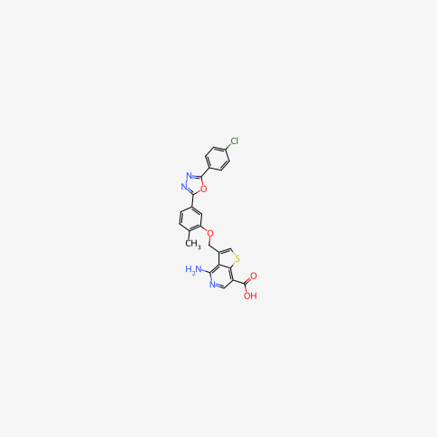 Cc1ccc(-c2nnc(-c3ccc(Cl)cc3)o2)cc1OCc1csc2c(C(=O)O)cnc(N)c12